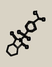 O=C(Cl)c1ccc(S(=O)(=O)N2C(=O)C3CCCCC3C2=O)cc1